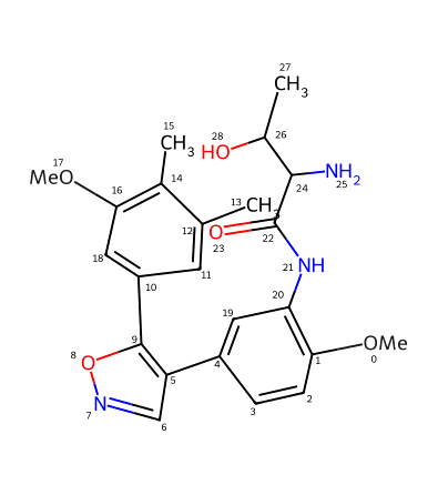 COc1ccc(-c2cnoc2-c2cc(C)c(C)c(OC)c2)cc1NC(=O)C(N)C(C)O